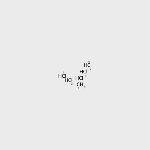 C.Cl.Cl.Cl.Cl.Cl